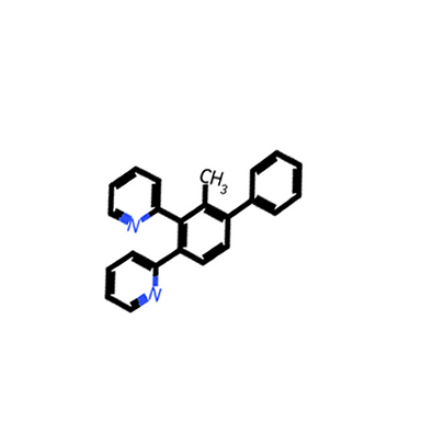 Cc1c(-c2ccccc2)ccc(-c2ccccn2)c1-c1ccccn1